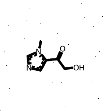 Cn1cncc1C(=O)CO